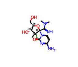 CN(C)C(=N)[C@@]1(n2ccc(N)nc2=O)O[C@H](CO)[C@@H](O)[C@@]1(C)F